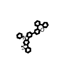 CS1(C)c2ccccc2-c2cc3c4cc(-c5ccc6c(c5)-c5ccccc5-c5ccccc5O6)ccc4n(-c4ccccc4)c3cc21